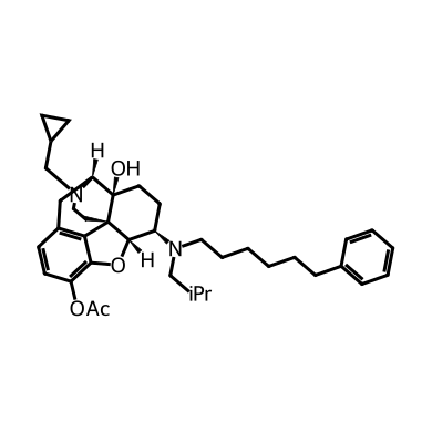 CC(=O)Oc1ccc2c3c1O[C@H]1[C@H](N(CCCCCCc4ccccc4)CC(C)C)CC[C@@]4(O)[C@@H](C2)N(CC2CC2)CC[C@]314